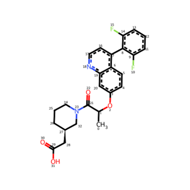 CC(Oc1ccc2c(-c3c(F)cccc3F)ccnc2c1)C(=O)N1CCC[C@H](CC(=O)O)C1